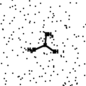 [SiH3]N([SiH3])S